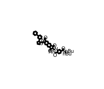 CCCCN(CCCC)C(=O)c1ccc2c(=O)[nH]c(C3C(=O)c4cc5cc6c(cc5cc4C3=O)C(=O)N(c3ccc(-c4ccccc4)cc3C3=CC=CC3)C6=O)nc2c1